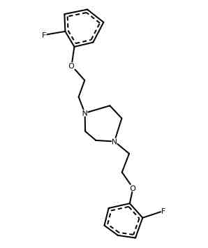 Fc1ccccc1OCCN1CCN(CCOc2ccccc2F)CC1